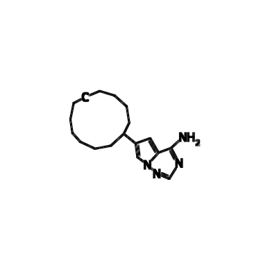 Nc1ncnn2cc(C3CCCCCCCCCCC3)cc12